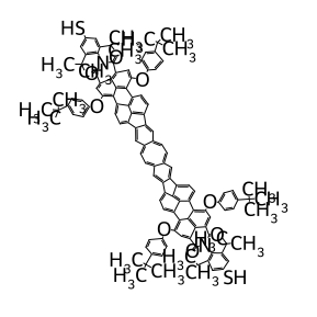 CC(C)c1cc(S)cc(C(C)C)c1N1C(=O)c2cc(Oc3ccc(C(C)(C)C)cc3)c3c4ccc5c6cc7ccc8cc9c(cc8ccc7cc6c6ccc(c7c(Oc8ccc(C(C)(C)C)cc8)cc(c2c37)C1=O)c4c56)c1ccc2c3c(Oc4ccc(C(C)(C)C)cc4)cc4c5c(cc(Oc6ccc(C(C)(C)C)cc6)c(c6ccc9c1c62)c53)C(=O)N(c1c(C(C)C)cc(S)cc1C(C)C)C4=O